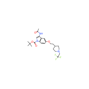 CC(=O)Nc1cn(C(=O)OC(C)(C)C)c2ccc(OCCC3CCN(CC(F)(F)F)CC3)cc12